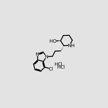 Cl.Cl.O[C@H]1CCCN[C@@H]1CCCn1cnc2cccc(Cl)c21